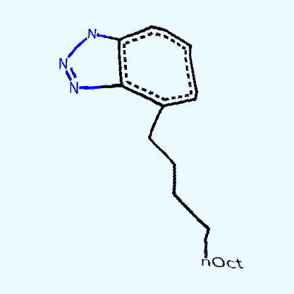 CCCCCCCCCCCCc1cccc2c1N=N[N]2